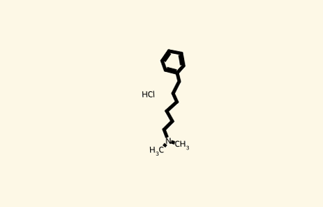 CN(C)CCCCCCc1ccccc1.Cl